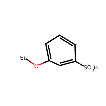 CCOc1cc[c]c(S(=O)(=O)O)c1